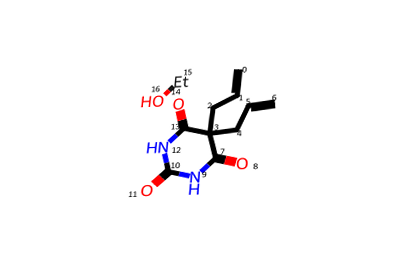 C=CCC1(CC=C)C(=O)NC(=O)NC1=O.CCO